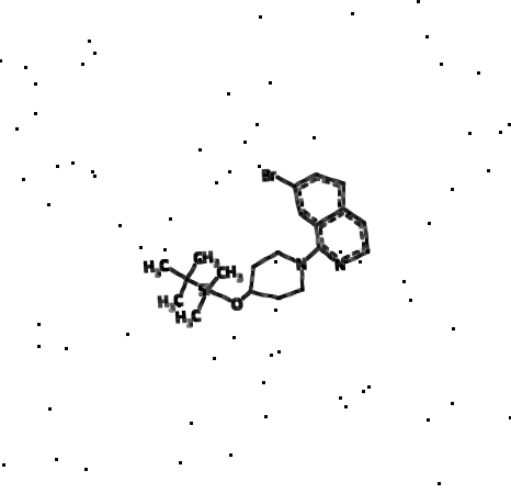 CC(C)(C)[Si](C)(C)OC1CCN(c2nccc3ccc(Br)cc23)CC1